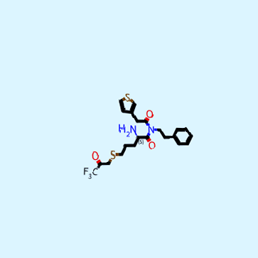 N[C@@H](CCCSCC(=O)C(F)(F)F)C(=O)N(CCc1ccccc1)C(=O)Cc1ccsc1